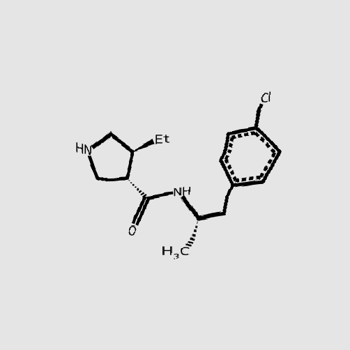 CC[C@@H]1CNC[C@H]1C(=O)N[C@@H](C)Cc1ccc(Cl)cc1